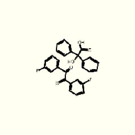 O=C(C(=O)c1cccc(F)c1)c1cccc(F)c1.O=C(O)C(O)(c1ccccc1)c1ccccc1